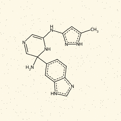 Cc1cc(NC2=CN=CC(N)(c3ccc4nc[nH]c4c3)N2)n[nH]1